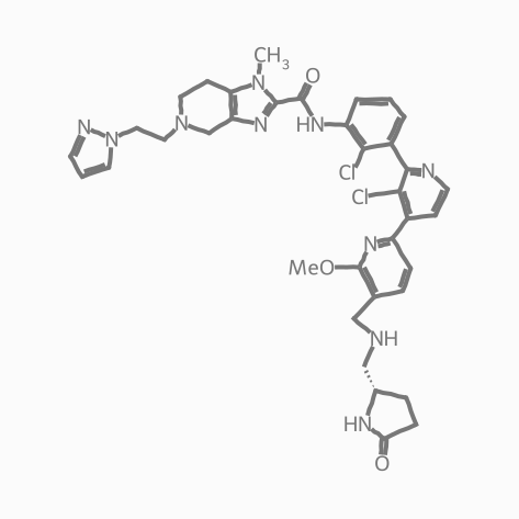 COc1nc(-c2ccnc(-c3cccc(NC(=O)c4nc5c(n4C)CCN(CCn4cccn4)C5)c3Cl)c2Cl)ccc1CNC[C@@H]1CCC(=O)N1